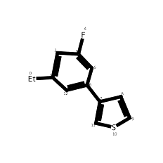 CCc1cc(F)cc(-c2ccsc2)c1